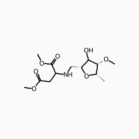 COC(=O)CC(NC[C@H]1O[C@@H](C)[C@@H](OC)C1O)C(=O)OC